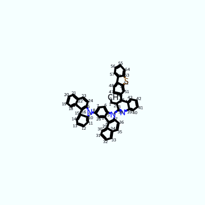 CCC1C(n2c3ccc(-n4c5ccccc5c5c6ccccc6ccc54)cc3c3c4ccccc4ccc32)=Nc2ccccc2C1c1ccc2c(c1)sc1ccccc12